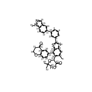 Cc1cc2nc(-c3cccc(-c4ccc5c(cnn5C)c4)c3)sc2c(-c2ccc3c(c2)C(=O)CCO3)c1[C@H](OC(C)(C)C)C(=O)O